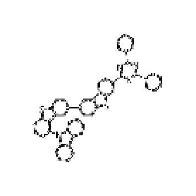 c1ccc(-c2nc(-c3ccccc3)nc(-c3ccc4c(c3)sc3ccc(-c5ccc6sc7cccc(-n8c9ccccc9c9ccccc98)c7c6c5)cc34)n2)cc1